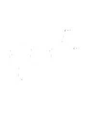 CCCCN(CCCC)c1ccc2c(C#N)cccc2c1